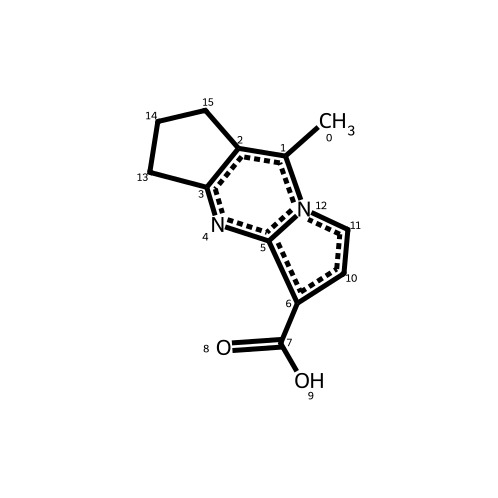 Cc1c2c(nc3c(C(=O)O)ccn13)CCC2